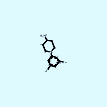 NC1CCN(c2cc(F)cc(F)c2)CC1